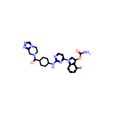 NC(=O)Oc1cn(-c2ccnc(NC3CCC(C(=O)N4CCn5cnnc5C4)CC3)n2)c2cccc(F)c12